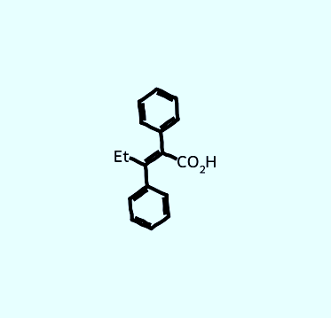 CC/C(=C(/C(=O)O)c1ccccc1)c1ccccc1